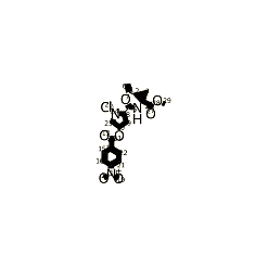 C=C[C@@H]1C[C@]1(NC(=O)[C@@H]1C[C@H](OC(=O)c2ccc([N+](=O)[O-])cc2)CN1Cl)C(=O)OC